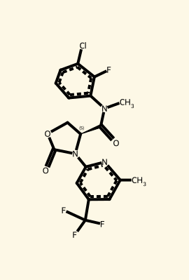 Cc1cc(C(F)(F)F)cc(N2C(=O)OC[C@H]2C(=O)N(C)c2cccc(Cl)c2F)n1